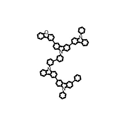 c1ccc(-c2ccc3c(c2)c2cc(-c4ccc5c(c4)c4ccccc4n5-c4cccc(-c5cccc(-n6c7ccc(-c8ccc9oc%10ccccc%10c9c8)cc7c7cc(-c8ccc9c(c8)c8ccccc8n9-c8ccccc8)ccc76)c5)c4)ccc2n3-c2ccccc2)cc1